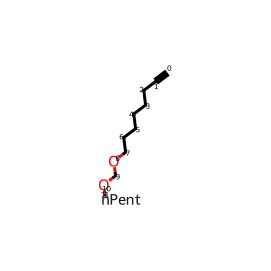 C#CCCCCCCOCOCCCCC